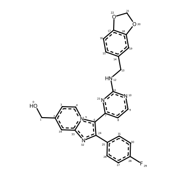 OCc1ccn2c(-c3ccnc(NCc4ccc5c(c4)OCO5)n3)c(-c3ccc(F)cc3)nc2c1